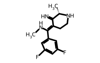 CN/C(=C1/CCN[C@@H](C)C1=N)c1cc(F)cc(F)c1